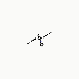 C=Cc1cc(OCCCCCCCC)c(/C=C/c2ccccc2)cc1OCCCCCCCC